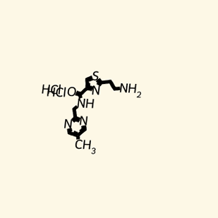 Cc1cnc(CNC(=O)c2csc(CCN)n2)nc1.Cl.Cl